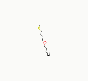 [Li][CH2]CCOCCCCSC